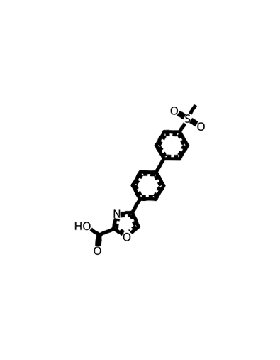 CS(=O)(=O)c1ccc(-c2ccc(-c3coc(C(=O)O)n3)cc2)cc1